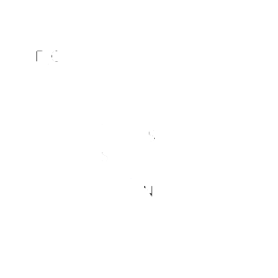 FC(F)(F)c1ccc2s/c(=N\c3ccccc3)sc2c1